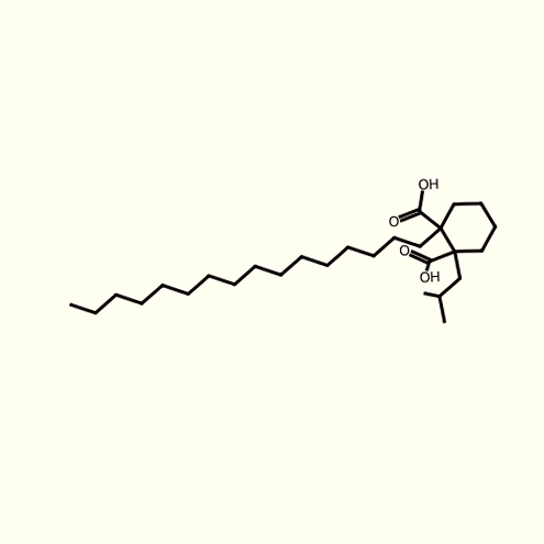 CCCCCCCCCCCCCCCCC1(C(=O)O)CCCCC1(CC(C)C)C(=O)O